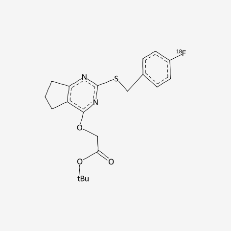 CC(C)(C)OC(=O)COc1nc(SCc2ccc([18F])cc2)nc2c1CCC2